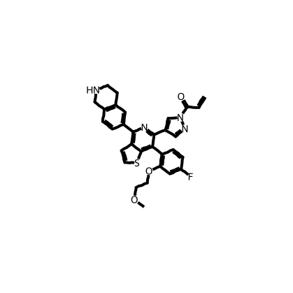 C=CC(=O)n1cc(-c2nc(-c3ccc4c(c3)CCNC4)c3ccsc3c2-c2ccc(F)cc2OCCOC)cn1